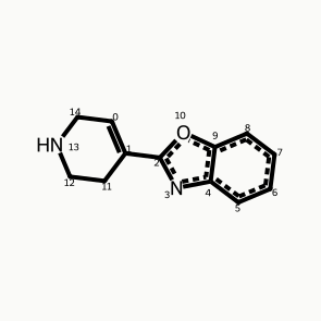 C1=C(c2nc3ccccc3o2)CCNC1